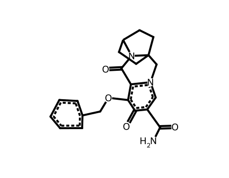 NC(=O)c1cn2c(c(OCc3ccccc3)c1=O)C(=O)N1C3CCC1(CC3)C2